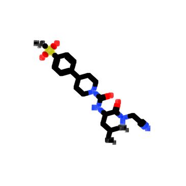 CC(C)CC(NC(=O)N1CCC(c2ccc(S(C)(=O)=O)cc2)CC1)C(=O)NCC#N